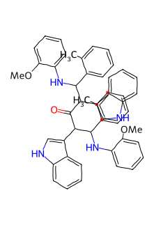 COc1ccccc1NC(c1ccccc1C)C(C(=O)C(c1c[nH]c2ccccc12)C(Nc1ccccc1OC)c1ccccc1C)c1c[nH]c2ccccc12